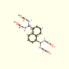 O=C=NC(N=C=O)c1cccc2c(C(N=C=O)N=C=O)cccc12